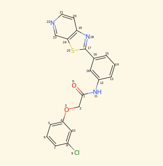 O=C(COc1cccc(Cl)c1)Nc1cccc(-c2nc3ccncc3s2)c1